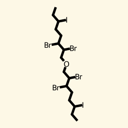 CCC(I)CCC(Br)C(Br)COCC(Br)C(Br)CCC(I)CC